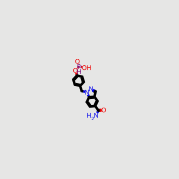 NC(=O)c1ccc2c(cnn2Cc2ccc(O[PH](=O)O)cc2)c1